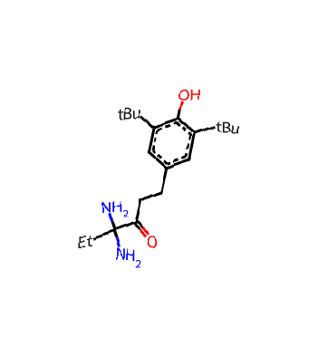 CCC(N)(N)C(=O)CCc1cc(C(C)(C)C)c(O)c(C(C)(C)C)c1